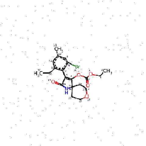 CCOC(=O)OC1=C(c2c(Br)cc(C)cc2CC)C(=O)NC12CCOCC2